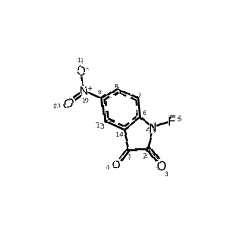 O=C1C(=O)N(F)c2ccc([N+](=O)[O-])cc21